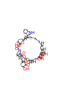 CO[C@H]1[C@@H](O)[C@H](C)C[C@H](C)/C=C/C=C/C=C(\C)[C@@H](c2c[nH]c3ccccc23)C[C@@H]2CC[C@@H](C)[C@@](O)(O2)C(=O)C(=O)N2CCC[C@@H]3C(C[C@@H]4CC[C@@H](O)[C@H](OC)C4)[C@H](C[C@H](O)[C@H](C)/C=C(\C)[C@H]1O)OC(=O)[C@H]32